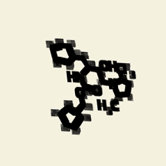 C[C@H]1CC[C@H](C(F)(F)F)N1C[C@@H](O)[C@H](Cc1ccccc1)NC(=O)OCc1ccccc1